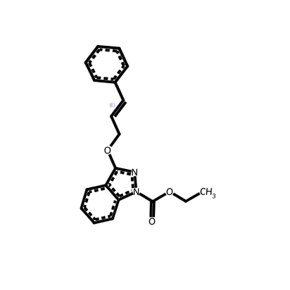 CCOC(=O)n1nc(OC/C=C/c2ccccc2)c2ccccc21